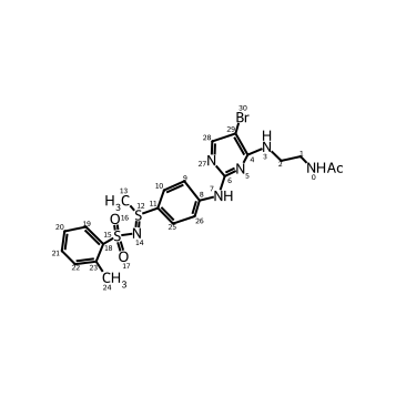 CC(=O)NCCNc1nc(Nc2ccc(S(C)=NS(=O)(=O)c3ccccc3C)cc2)ncc1Br